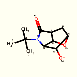 CC(C)(C)N1C(=O)C2CC3OC2C1C3O